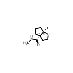 NNC(=O)[C@]12CCC[C@H]1OCC2